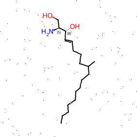 CCCCCCCCCC(C)CCCC=C[C@@H](O)[C@@H](N)CO